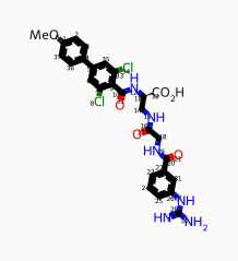 COc1ccc(-c2cc(Cl)c(C(=O)N[C@@H](CNC(=O)CNC(=O)c3cccc(NC(=N)N)c3)C(=O)O)c(Cl)c2)cc1